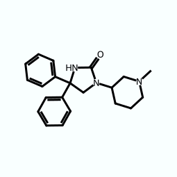 CN1CCCC(N2CC(c3ccccc3)(c3ccccc3)NC2=O)C1